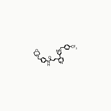 O=C(/C=C/c1cnccc1-c1cnn(Cc2ccc(C(F)(F)F)cc2)c1)Nc1ccc(CN2CCOCC2)cc1